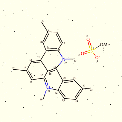 COS(=O)(=O)[O-].Cc1ccc2c(c1)-c1cc(C)cc3c1c(c1cc(C)ccc1[n+]3C)N2C